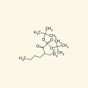 CCCCC(CC)C(=O)P(=O)(OC(C)(C)C)OC(C)(C)C